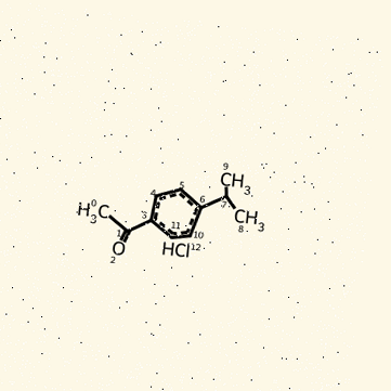 CC(=O)c1ccc(C(C)C)cc1.Cl